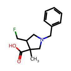 CC1(C(=O)O)CN(Cc2ccccc2)CC1CF